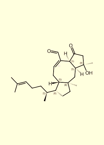 CC(C)=CCC[C@H](C)[C@H]1CC[C@]2(C)C[C@H]3[C@H](C(=O)C[C@@]3(C)O)/C(C=O)=C\C[C@@H]12